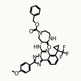 COc1ccc(-c2nc3c4cccc(C5(C(F)(F)F)CC5)c4nc(N[C@@H]4CN(C(=O)OCc5ccccc5)CCNC4=O)n3n2)cc1